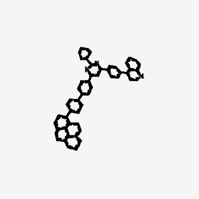 c1ccc(-c2nc(-c3ccc(-c4ccc(-c5ccc6ccc7cccc8ccc5c6c78)cc4)cc3)cc(-c3ccc(-c4ccnc5ccccc45)cc3)n2)cc1